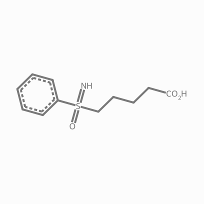 N=S(=O)(CCCCC(=O)O)c1ccccc1